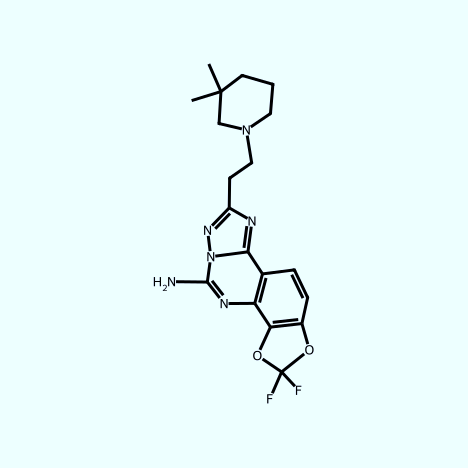 CC1(C)CCCN(CCc2nc3c4ccc5c(c4nc(N)n3n2)OC(F)(F)O5)C1